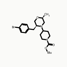 C[C@H]1CN(C2CCN(C(=O)OC(C)(C)C)CC2)[C@@H](Cc2ccc(Br)cc2)CO1